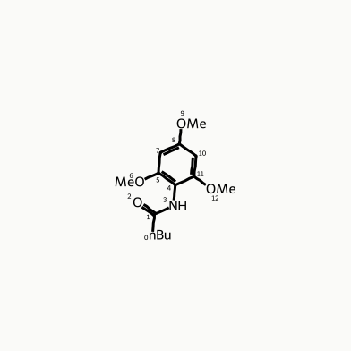 CCCCC(=O)Nc1c(OC)cc(OC)cc1OC